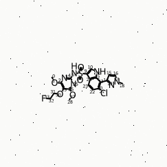 COc1nc(NS(=O)(=O)c2c[nH]c3c(-c4ccn(C)n4)c(Cl)ccc23)nc(OC)c1OCCF